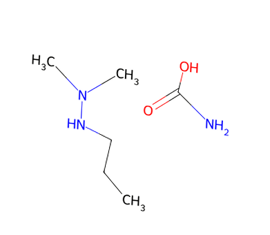 CCCNN(C)C.NC(=O)O